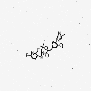 COc1cc(C=C2OC(C)(C)CN([C@@H](C)c3ccc(F)nc3F)C2=O)ccc1-n1cnc(C)c1